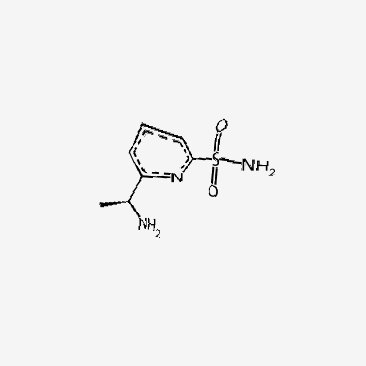 C[C@H](N)c1cccc(S(N)(=O)=O)n1